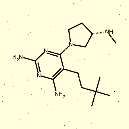 CN[C@H]1CCN(c2nc(N)nc(N)c2CCC(C)(C)C)C1